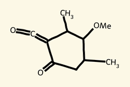 COC1C(C)CC(=O)C(=C=O)C1C